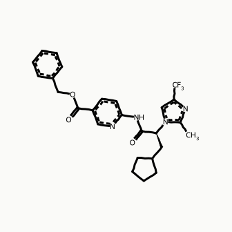 Cc1nc(C(F)(F)F)cn1[C@@H](CC1CCCC1)C(=O)Nc1ccc(C(=O)OCc2ccccc2)cn1